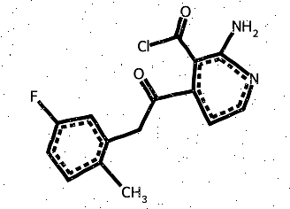 Cc1ccc(F)cc1CC(=O)c1ccnc(N)c1C(=O)Cl